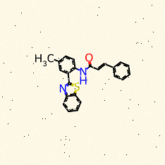 Cc1ccc(NC(=O)C=Cc2ccccc2)c(-c2nc3ccccc3s2)c1